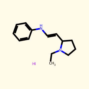 CCN1CCCC1/C=C/Nc1ccccc1.I